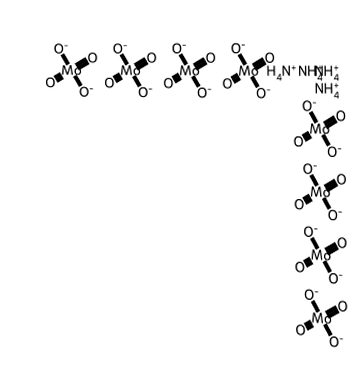 [NH4+].[NH4+].[NH4+].[NH4+].[O]=[Mo](=[O])([O-])[O-].[O]=[Mo](=[O])([O-])[O-].[O]=[Mo](=[O])([O-])[O-].[O]=[Mo](=[O])([O-])[O-].[O]=[Mo](=[O])([O-])[O-].[O]=[Mo](=[O])([O-])[O-].[O]=[Mo](=[O])([O-])[O-].[O]=[Mo](=[O])([O-])[O-]